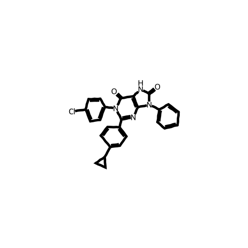 O=c1c2[nH]c(=O)n(-c3ccccc3)c2nc(-c2ccc(C3CC3)cc2)n1-c1ccc(Cl)cc1